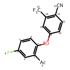 CC(=O)c1cc(F)ccc1Oc1ccc(C#N)c(C(F)(F)F)c1